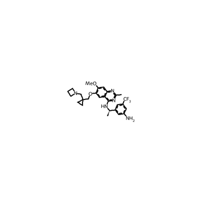 COc1cc2nc(C)nc(N[C@H](C)c3cc(N)cc(C(F)(F)F)c3)c2cc1OCC1(CN2CCC2)CC1